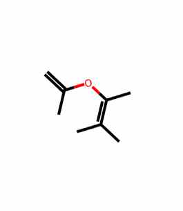 C=C(C)OC(C)=C(C)C